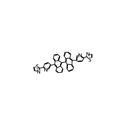 c1ccc2c(-c3c4ccccc4c(-c4ccc(-c5nccs5)nc4)c4ccccc34)c3ccccc3c(-c3ccc(-c4nccs4)nc3)c2c1